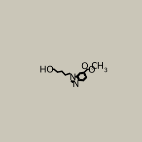 COC(=O)c1ccc2ncn(CCCCCO)c2c1